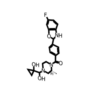 C[C@@H]1CN(C(O)C2(O)CC2)CCN1C(=O)c1ccc(C2Nc3ccc(F)cc3O2)cc1